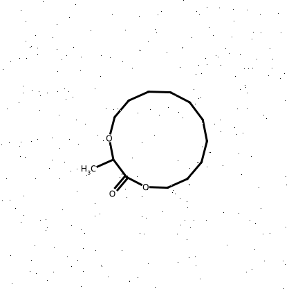 CC1OCCCCCCCCCCOC1=O